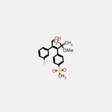 COC(C)(C)/C(=C(\CO)c1cccc(F)c1)c1ccc(S(C)(=O)=O)cc1